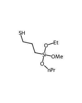 CCCO[Si](CCCS)(OC)OCC